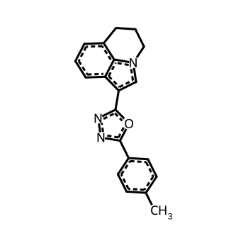 Cc1ccc(-c2nnc(-c3cn4c5c(cccc35)CCC4)o2)cc1